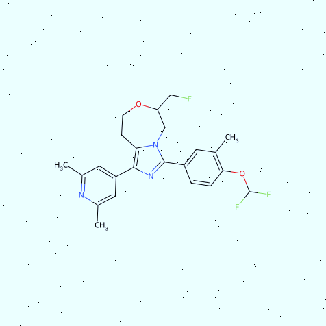 Cc1cc(-c2nc(-c3ccc(OC(F)F)c(C)c3)n3c2CCOC(CF)C3)cc(C)n1